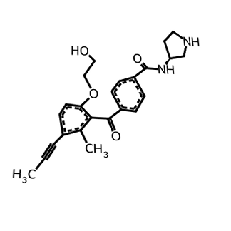 CC#Cc1ccc(OCCO)c(C(=O)c2ccc(C(=O)N[C@H]3CCNC3)cc2)c1C